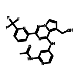 CC(=O)Nc1cc(Nc2nc(-c3cccc(C(F)(F)F)n3)nn3ccc(CO)c23)ccn1